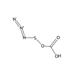 [N-]=[N+]=NSOC(=O)O